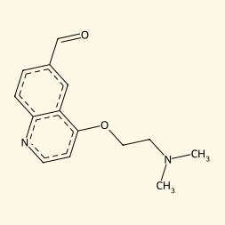 CN(C)CCOc1ccnc2ccc(C=O)cc12